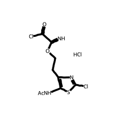 CC(=O)Nc1sc(Cl)nc1CCOC(=N)C(=O)Cl.Cl